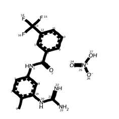 Cc1ccc(NC(=O)c2cccc(C(F)(F)F)c2)cc1NC(=N)N.O=[N+]([O-])O